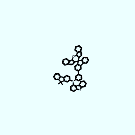 CC1(C)c2ccccc2-c2ccc(N(c3cccc(-c4ccc5c(c4)-c4ccccc4C54c5ccc6ccccc6c5Oc5c4ccc4ccccc54)c3)c3cccc4oc5ccccc5c34)cc21